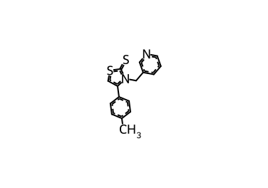 Cc1ccc(-c2csc(=S)n2Cc2cccnc2)cc1